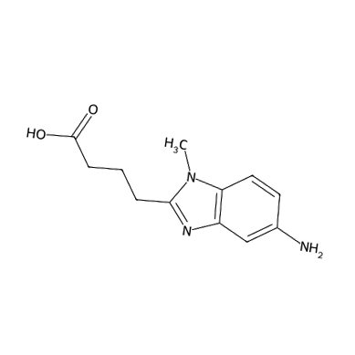 Cn1c(CCCC(=O)O)nc2cc(N)ccc21